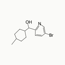 CC1CCC(C(O)c2ccc(Br)cn2)CC1